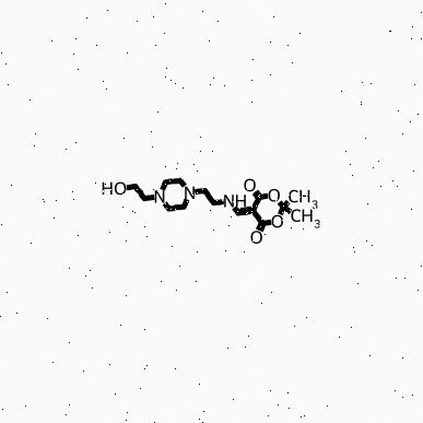 CC1(C)OC(=O)C(=CNCCN2CCN(CCO)CC2)C(=O)O1